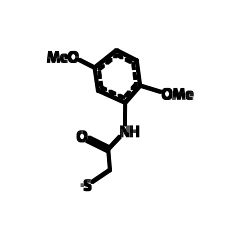 COc1ccc(OC)c(NC(=O)C[S])c1